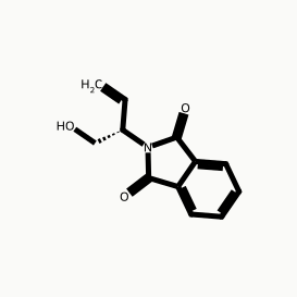 C=C[C@@H](CO)N1C(=O)c2ccccc2C1=O